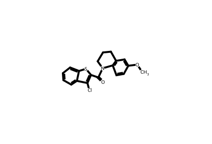 COc1ccc2c(c1)CCCN2C(=O)c1sc2ccccc2c1Cl